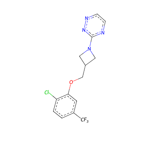 FC(F)(F)c1ccc(Cl)c(OCC2CN(c3nccnn3)C2)c1